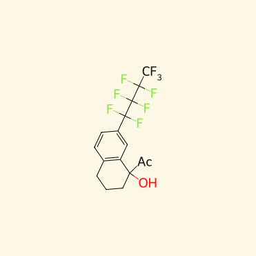 CC(=O)C1(O)CCCc2ccc(C(F)(F)C(F)(F)C(F)(F)C(F)(F)F)cc21